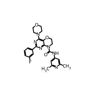 Cc1cc(NC(=O)N2CCOc3c(N4CCOCC4)nc(-c4cccc(F)c4)nc32)cc(C)n1